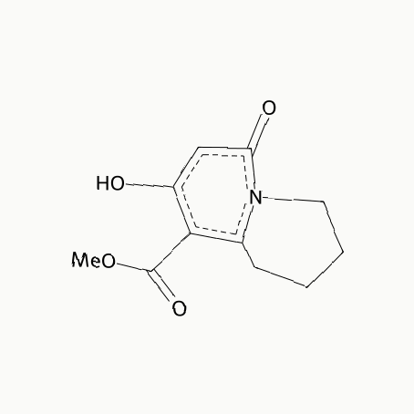 COC(=O)c1c(O)cc(=O)n2c1CCCC2